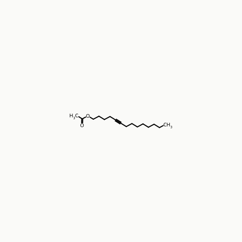 CCCCCCCCC#CCCCCOC(C)=O